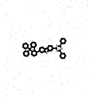 c1ccc(-c2nc(-c3ccccc3)nc(-c3ccc4c(c3)sc3cc(-c5cccc6c5-c5ccccc5C6(c5ccccc5)c5ccccc5)ccc34)n2)cc1